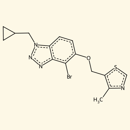 Cc1ncsc1COc1ccc2c(nnn2CC2CC2)c1Br